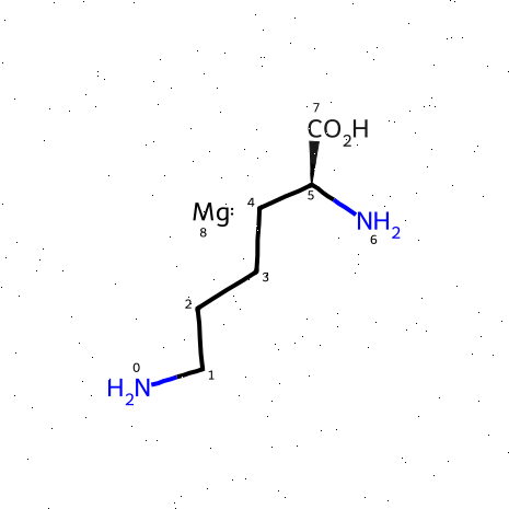 NCCCC[C@H](N)C(=O)O.[Mg]